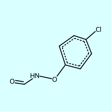 O=CNOc1ccc(Cl)cc1